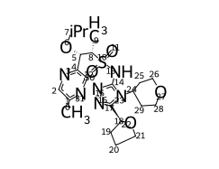 Cc1cnc([C@H](OC(C)C)[C@H](C)S(=O)(=O)Nc2nnc([C@@H]3CCCO3)n2C2CCOCC2)cn1